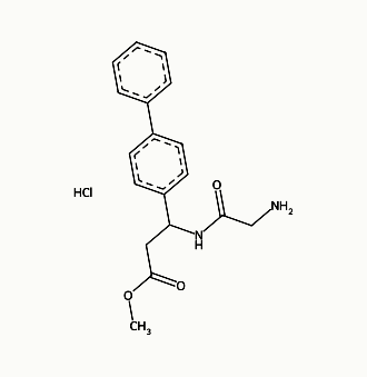 COC(=O)CC(NC(=O)CN)c1ccc(-c2ccccc2)cc1.Cl